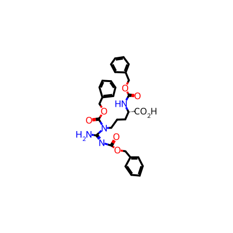 NC(=NC(=O)OCc1ccccc1)N(CCC[C@H](NC(=O)OCc1ccccc1)C(=O)O)C(=O)OCc1ccccc1